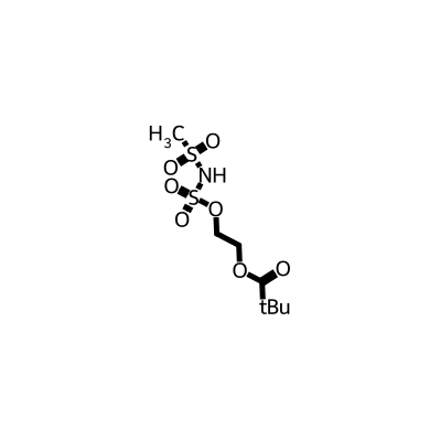 CC(C)(C)C(=O)OCCOS(=O)(=O)NS(C)(=O)=O